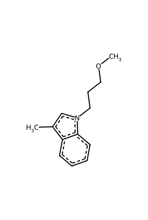 COCCCn1cc(C)c2ccccc21